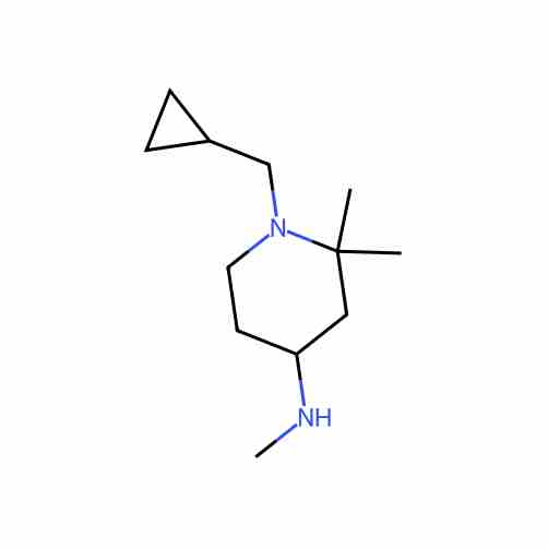 CNC1CCN(CC2CC2)C(C)(C)C1